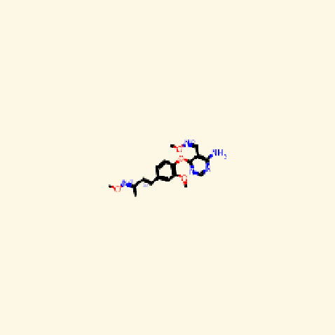 CO/N=C\c1c(N)ncnc1Oc1ccc(/C=C/C(C)=N/OC)cc1OC